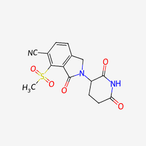 CS(=O)(=O)c1c(C#N)ccc2c1C(=O)N(C1CCC(=O)NC1=O)C2